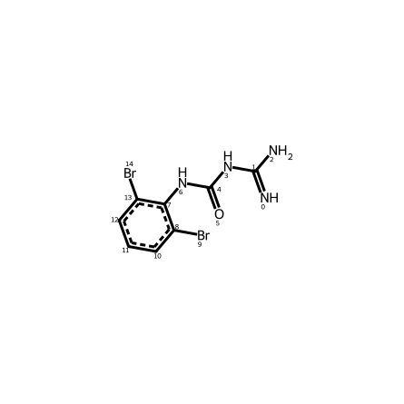 N=C(N)NC(=O)Nc1c(Br)cccc1Br